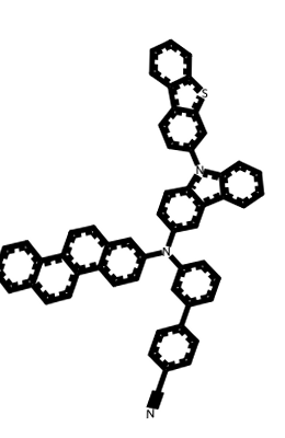 N#Cc1ccc(-c2cccc(N(c3ccc4c(ccc5c6ccccc6ccc45)c3)c3ccc4c(c3)c3ccccc3n4-c3ccc4c(c3)sc3ccccc34)c2)cc1